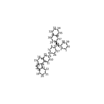 c1ccc(N(c2ccc(-c3ccc4c(ccc5sc6ccccc6c54)c3)cc2)c2ccc3ccccc3c2)cc1